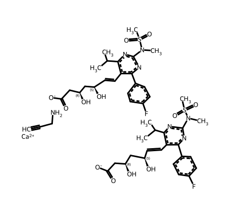 C#CCN.CC(C)c1nc(N(C)S(C)(=O)=O)nc(-c2ccc(F)cc2)c1C=C[C@@H](O)C[C@@H](O)CC(=O)[O-].CC(C)c1nc(N(C)S(C)(=O)=O)nc(-c2ccc(F)cc2)c1C=C[C@@H](O)C[C@@H](O)CC(=O)[O-].[Ca+2]